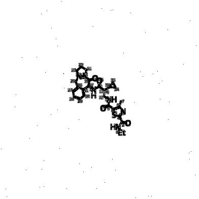 CCNC(=O)c1nc(C)c(C(=O)NC[C@H](C(=O)N[C@@H]2C(=O)N3CCCN3Cc3ccccc32)C2CC2)s1